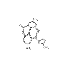 Cc1cc2n[si](-c3ccc(C)s3)c3cc(C)cc4oc(=O)c(c1)c2c43